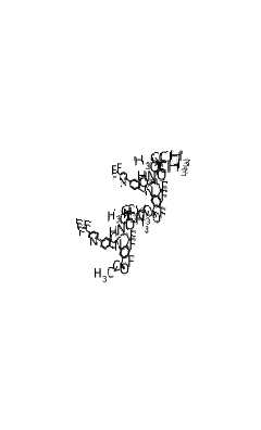 CCOC(=O)c1cc2c(cc1F)C(F)(F)CC(NC(=O)OC(C)(C)C)C(=O)N2Cc1ccc(-c2ccc(C(F)(F)F)cn2)cc1.CCOC(=O)c1cc2c(cc1F)C(F)(F)C[C@@H](NC(=O)OC(C)(C)C)C(=O)N2Cc1ccc(-c2ccc(C(F)(F)F)cn2)cc1